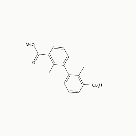 COC(=O)c1cccc(-c2cccc(C(=O)O)c2C)c1C